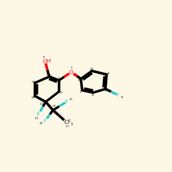 OC1=C(Oc2ccc(F)cc2)CC(F)(C(F)(F)C(F)(F)F)C=C1